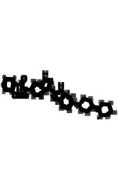 COc1ccccc1C(=O)Nc1ccc2c(-c3nc4ccc(N5CCC(N6CCCCC6)CC5)cc4[nH]3)n[nH]c2c1